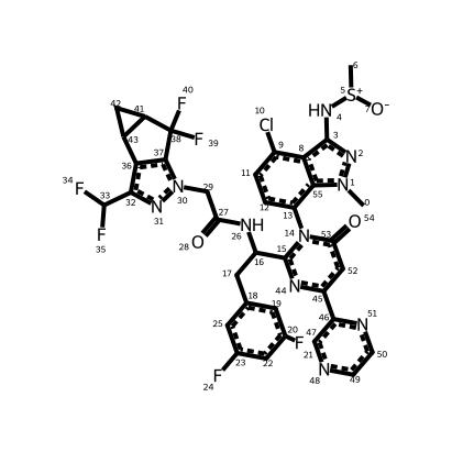 Cn1nc(N[S+](C)[O-])c2c(Cl)ccc(-n3c(C(Cc4cc(F)cc(F)c4)NC(=O)Cn4nc(C(F)F)c5c4C(F)(F)C4CC54)nc(-c4cnccn4)cc3=O)c21